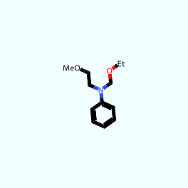 CCOCN(CCOC)c1ccccc1